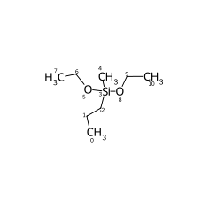 CC[CH][Si](C)(OCC)OCC